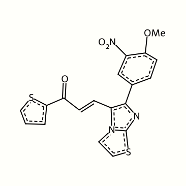 COc1ccc(-c2nc3sccn3c2C=CC(=O)c2cccs2)cc1[N+](=O)[O-]